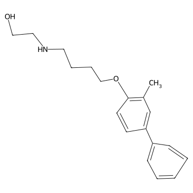 Cc1cc(-c2ccccc2)ccc1OCCCCNCCO